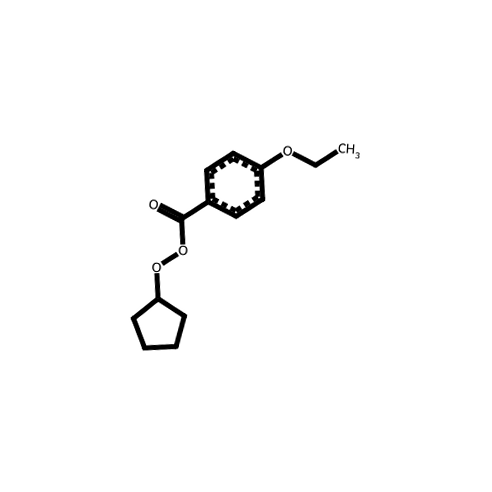 CCOc1ccc(C(=O)OO[C]2CCCC2)cc1